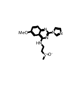 COc1ccc2nc(-n3ccnc3)nc(NCC[S+](C)[O-])c2c1